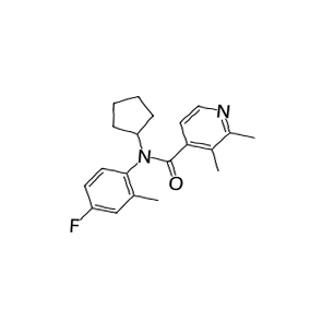 Cc1cc(F)ccc1N(C(=O)c1ccnc(C)c1C)C1CCCC1